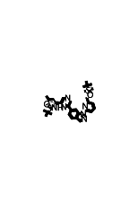 CCC[C@H](N[S+]([O-])C(C)(C)C)c1cncc(-c2ccc3cnn(-c4cccc(CO[Si](C)(C)C(C)(C)C)n4)c3c2)n1